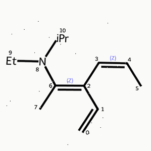 C=CC(/C=C\C)=C(\C)N(CC)C(C)C